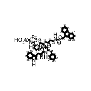 CC(C)[C@H](NC(=O)[C@@H]1CCCN1C(=O)[C@H](CCCCNC(=O)OCC1c2ccccc2-c2ccccc21)NC(=O)[C@H](Cc1ccccc1)NC(=O)[C@@H](N)Cc1c[nH]c2ccccc12)C(=O)O